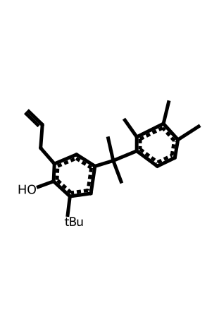 C=CCc1cc(C(C)(C)c2ccc(C)c(C)c2C)cc(C(C)(C)C)c1O